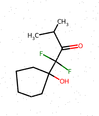 CC(C)C(=O)C(F)(F)C1(O)CCCCC1